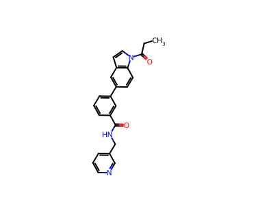 CCC(=O)n1ccc2cc(-c3cccc(C(=O)NCc4cccnc4)c3)ccc21